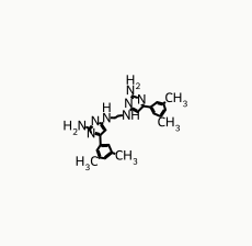 Cc1cc(C)cc(-c2cc(NCCNc3cc(-c4cc(C)cc(C)c4)nc(N)n3)nc(N)n2)c1